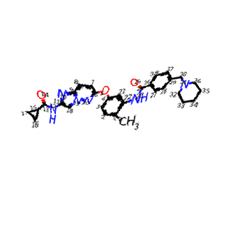 Cc1ccc(Oc2ccc3nc(NC(=O)C4CC4)cn3n2)cc1NC(=O)c1ccc(CN2CCCCC2)cc1